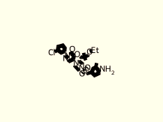 CCOCC(C)(C)COc1c(N2CCN(S(=O)(=O)Cc3ccc(N)c(C)c3)CC2)cnn(-c2cccc(Cl)c2)c1=O